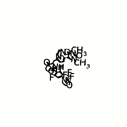 Cn1cc(-c2ccc(CC(NC(=O)c3c(F)cc(N4CCOC[C@@H]4C(F)(F)F)cc3F)C(=O)O)n3ccnc23)c(=O)n(C)c1=O